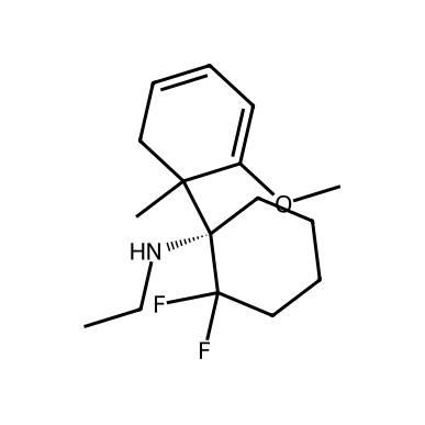 CCN[C@]1(C2(C)CC=CC=C2OC)CCCCC1(F)F